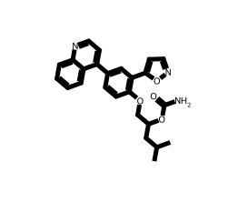 CC(C)CC(COc1ccc(-c2ccnc3ccccc23)cc1-c1ccno1)OC(N)=O